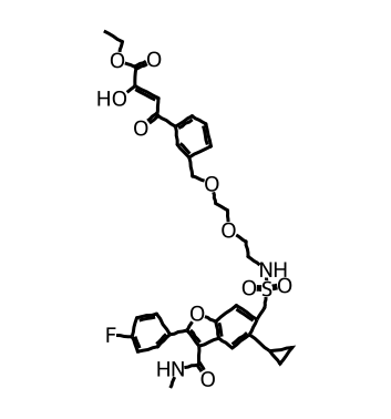 CCOC(=O)/C(O)=C/C(=O)c1cccc(COCCOCCNS(=O)(=O)Cc2cc3oc(-c4ccc(F)cc4)c(C(=O)NC)c3cc2C2CC2)c1